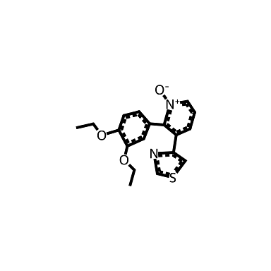 CCOc1ccc(-c2c(-c3cscn3)ccc[n+]2[O-])cc1OCC